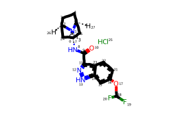 CN1[C@@H]2CC[C@H]1C[C@H](NC(=O)c1n[nH]c3cc(OC(F)F)ccc13)C2.Cl